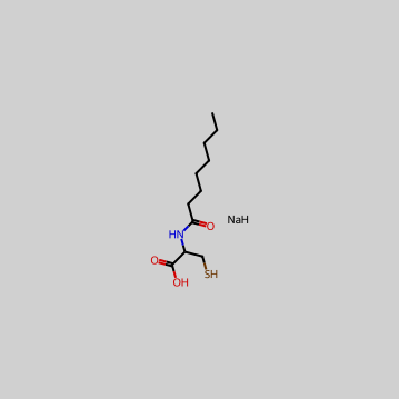 CCCCCCCC(=O)NC(CS)C(=O)O.[NaH]